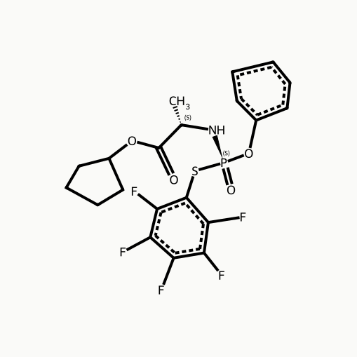 C[C@H](N[P@](=O)(Oc1ccccc1)Sc1c(F)c(F)c(F)c(F)c1F)C(=O)OC1CCCC1